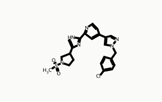 CS(=O)(=O)N1CCC(c2c[nH]c(-c3cc(-c4cnn(Cc5ccc(Cl)cc5)c4)ccn3)n2)C1